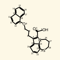 O=C(O)c1c(CCCOc2cccc3ccccc23)c2cccc3c2n1CCCS3